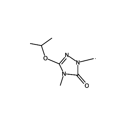 [CH2]n1nc(OC(C)C)n(C)c1=O